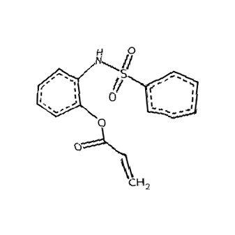 C=CC(=O)Oc1ccccc1NS(=O)(=O)c1ccccc1